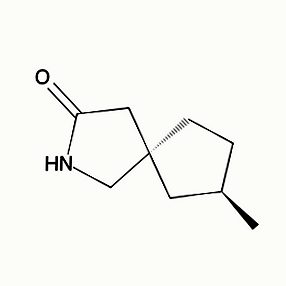 C[C@@H]1CC[C@@]2(CNC(=O)C2)C1